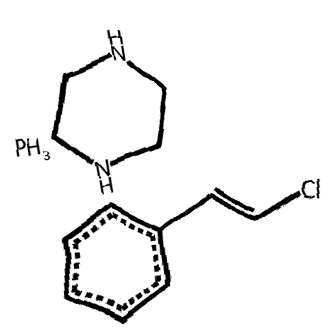 C1CNCCN1.ClC=Cc1ccccc1.P